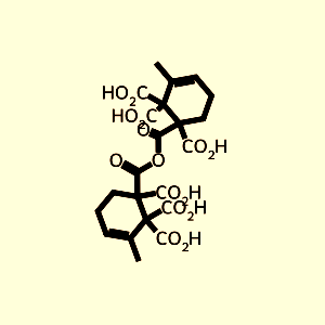 CC1=CCCC(C(=O)O)(C(=O)OC(=O)C2(C(=O)O)CCC=C(C)C2(C(=O)O)C(=O)O)C1(C(=O)O)C(=O)O